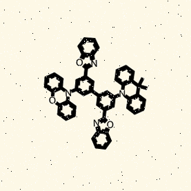 CC1(C)c2ccccc2N(c2cc(-c3cc(-c4nc5ccccc5o4)cc(N4c5ccccc5Oc5ccccc54)c3)cc(-c3nc4ccccc4o3)c2)c2ccccc21